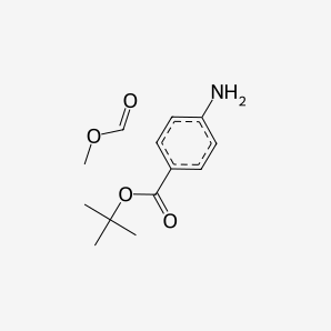 CC(C)(C)OC(=O)c1ccc(N)cc1.COC=O